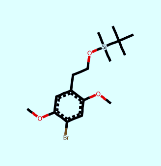 COc1cc(CCO[Si](C)(C)C(C)(C)C)c(OC)cc1Br